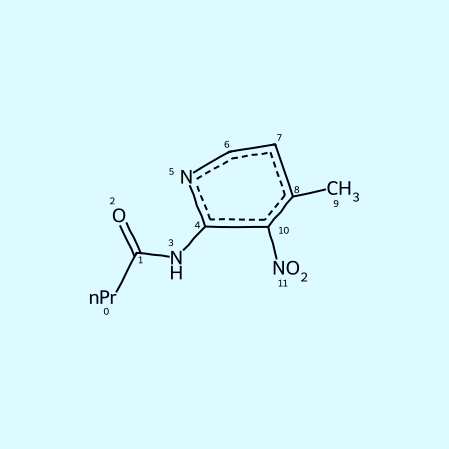 CCCC(=O)Nc1nccc(C)c1[N+](=O)[O-]